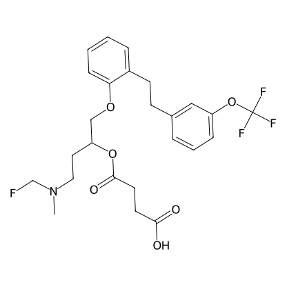 CN(CF)CCC(COc1ccccc1CCc1cccc(OC(F)(F)F)c1)OC(=O)CCC(=O)O